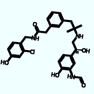 CC(C)(Cc1cccc(CC(=O)NCc2ccc(O)cc2Cl)c1)NC[C@H](O)c1ccc(O)c(NC=O)c1